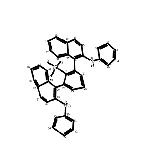 C[Si](C)(C)c1c(-c2c(Nc3ccccc3)ccc3ccccc23)cccc1-c1c(Nc2ccccc2)ccc2ccccc12